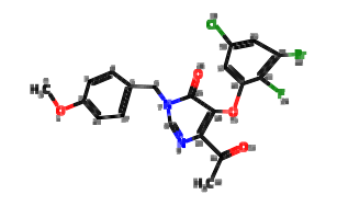 COc1ccc(Cn2cnc(C(C)=O)c(Oc3cc(Cl)cc(Br)c3F)c2=O)cc1